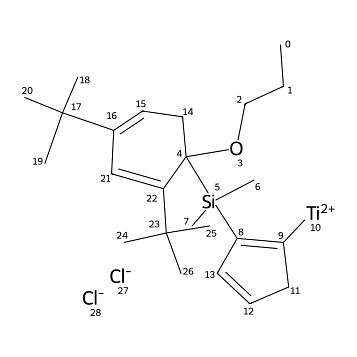 CCCOC1([Si](C)(C)C2=[C]([Ti+2])CC=C2)CC=C(C(C)(C)C)C=C1C(C)(C)C.[Cl-].[Cl-]